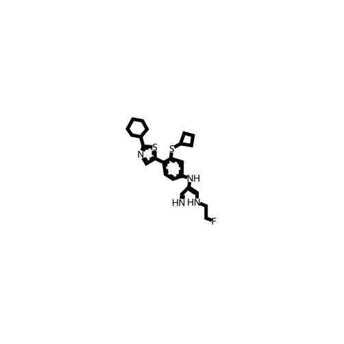 N=C/C(=C\NCCF)Nc1ccc(-c2cnc(C3CCCCC3)s2)c(SC2CCC2)c1